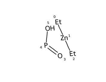 C[CH2][Zn][CH2]C.O=PO